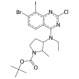 CCN(c1nc(Cl)nc2c(I)c(Br)ccc12)C1CCN(C(=O)OC(C)(C)C)C1C